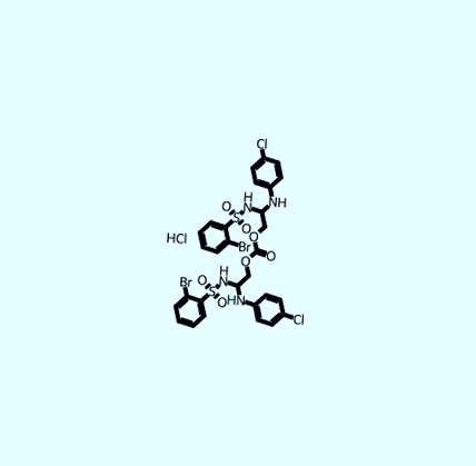 Cl.O=C(OCC(Nc1ccc(Cl)cc1)NS(=O)(=O)c1ccccc1Br)OCC(Nc1ccc(Cl)cc1)NS(=O)(=O)c1ccccc1Br